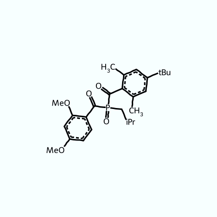 COc1ccc(C(=O)P(=O)(CC(C)C)C(=O)c2c(C)cc(C(C)(C)C)cc2C)c(OC)c1